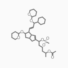 CC(=O)OC(C)CCCC(OS(C)(=O)=O)C1=CC2C(C1)CC(OC1CCCCO1)C2C=CC(OC1CCCCO1)C1CCCCC1